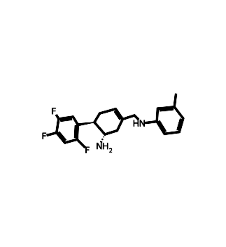 Cc1cccc(NCC2=CC[C@H](c3cc(F)c(F)cc3F)[C@@H](N)C2)c1